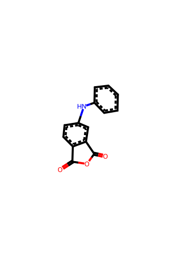 O=C1OC(=O)c2cc(Nc3ccccc3)ccc21